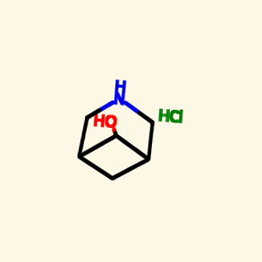 Cl.OC1C2CNCC1C2